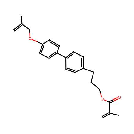 C=C(C)COc1ccc(-c2ccc(CCCOC(=O)C(=C)C)cc2)cc1